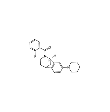 O=C(c1ccccc1F)N1CCC2C[C@@H]1c1cc(N3CCCCC3)ccc12